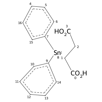 O=C(O)CCC(=O)O.c1cc[c]([Sn][c]2ccccc2)cc1